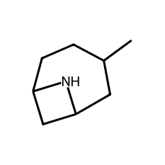 CC1CCC2CC(C1)N2